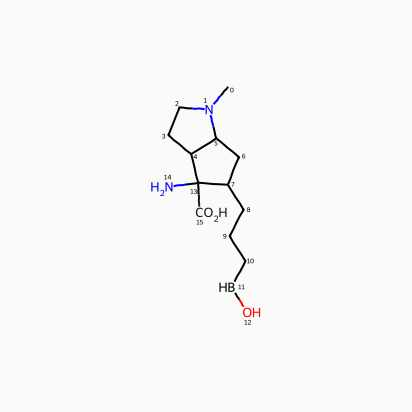 CN1CCC2C1CC(CCCBO)C2(N)C(=O)O